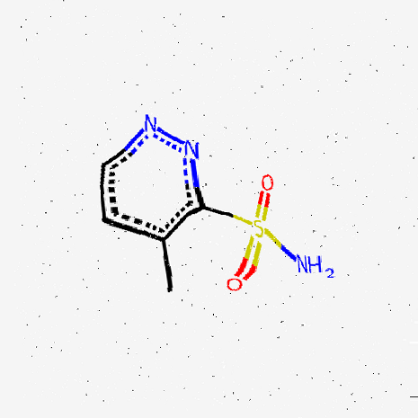 Cc1ccnnc1S(N)(=O)=O